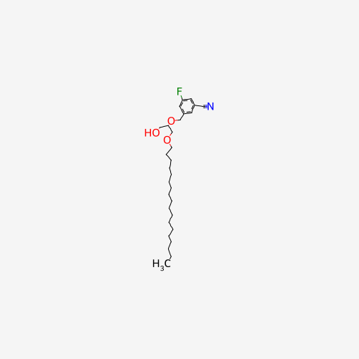 CCCCCCCCCCCCCCCCCCOCC(CO)OCc1cc(F)cc(C#N)c1